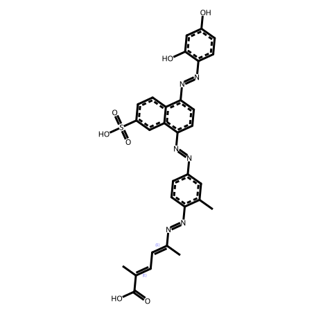 C/C(=C\C=C(/C)C(=O)O)N=Nc1ccc(N=Nc2ccc(N=Nc3ccc(O)cc3O)c3ccc(S(=O)(=O)O)cc23)cc1C